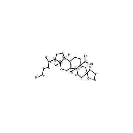 CCC(O)[C@]12CCC3=C(CC[C@]4(C)[C@@H]([C@H](C)CCCC(C)C)CC[C@@H]34)[C@@]1(C)CCC1(C2)OCCO1